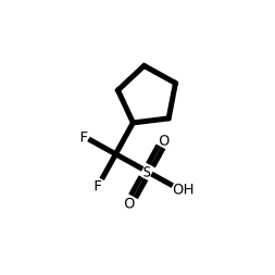 O=S(=O)(O)C(F)(F)C1CCCC1